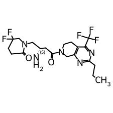 CCCc1nc2c(c(C(F)(F)F)n1)CCN(C(=O)C[C@H](N)CN1CC(F)(F)CCC1=O)C2